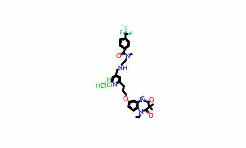 CCN1C(=O)C(C)(C)C(=O)N(C)c2cc(OCCCc3cc(CNCCN(C)C(=O)c4ccc(C(F)(F)F)cc4)ccn3)ccc21.Cl.Cl